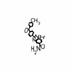 Cc1ccc(C(=O)c2ccc(-c3nc4cc(C(N)=O)ccc4[nH]3)cc2)cc1